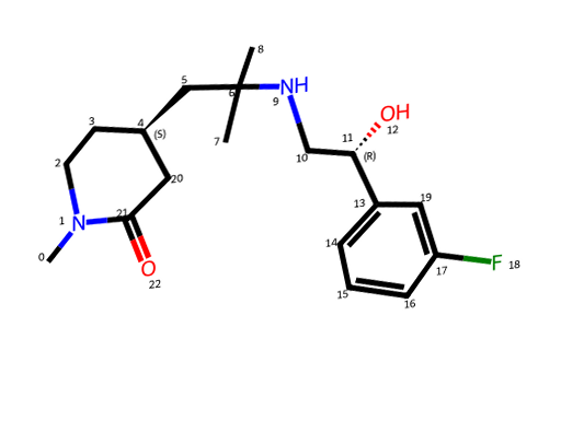 CN1CC[C@@H](CC(C)(C)NC[C@H](O)c2cccc(F)c2)CC1=O